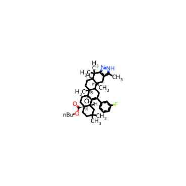 CCCCOC(=O)[C@]12CCC(C)(C)C[C@H]1C1=C(c3cccc(F)c3)CC3[C@@]4(C)Cc5c(n[nH]c5C)C(C)(C)[C@@H]4CC[C@@]3(C)[C@]1(C)CC2